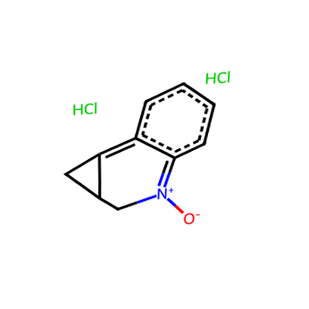 Cl.Cl.[O-][N+]1=c2ccccc2=C2CC2C1